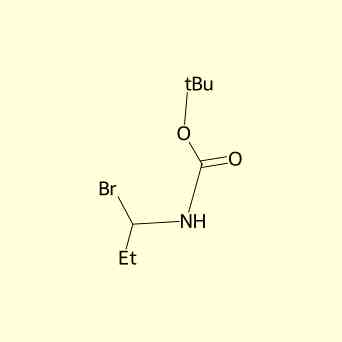 CCC(Br)NC(=O)OC(C)(C)C